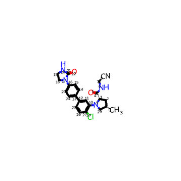 C[C@H]1C[C@@H](C(=O)NCC#N)N(c2cc(-c3ccc(N4CCNC4=O)cc3)ccc2Cl)C1